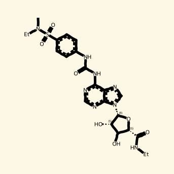 CCNC(=O)[C@H]1O[C@@H](n2cnc3c(NC(=O)Nc4ccc(S(=O)(=O)N(C)CC)cc4)ncnc32)[C@@H](O)C1O